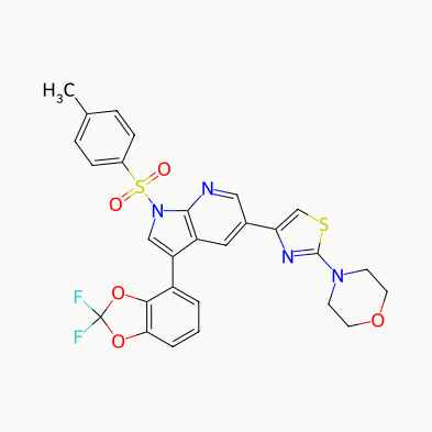 Cc1ccc(S(=O)(=O)n2cc(-c3cccc4c3OC(F)(F)O4)c3cc(-c4csc(N5CCOCC5)n4)cnc32)cc1